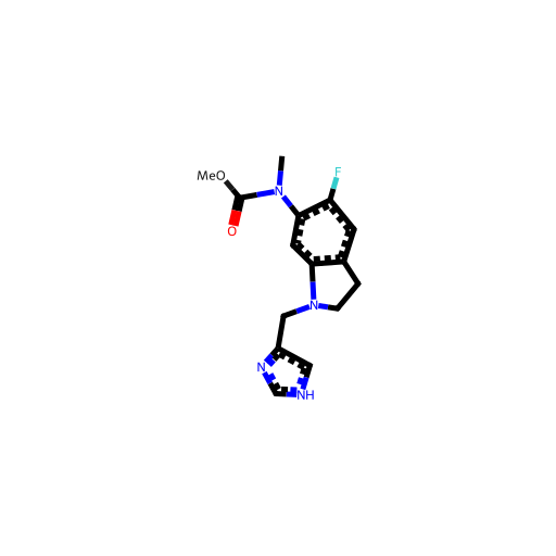 COC(=O)N(C)c1cc2c(cc1F)CCN2Cc1c[nH]cn1